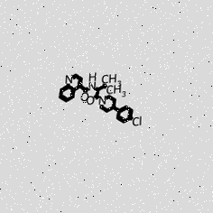 CC(C)C(NC(=O)c1ccnc2ccccc12)C(=O)N1CCC(c2ccc(Cl)cc2)CC1